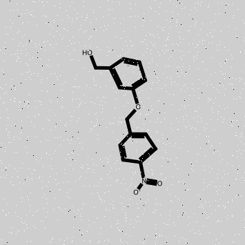 O=[N+]([O-])c1ccc(COc2cccc(CO)c2)cc1